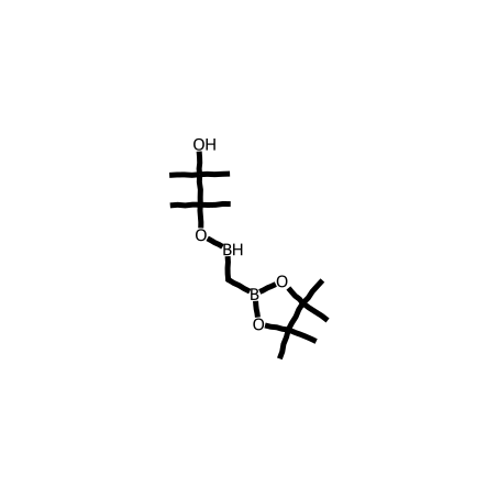 CC(C)(O)C(C)(C)OBCB1OC(C)(C)C(C)(C)O1